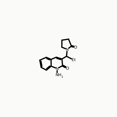 CCC(c1cc2ccccc2n(N)c1=O)N1CCCC1=O